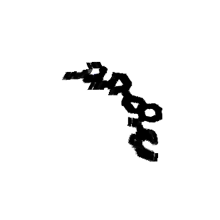 CN/C=C(\C=N)Nc1nccc(-c2ccc3c(c2)CCCCC3NC(=O)OC(C)(C)C)n1